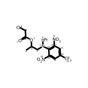 CCCN(CC(C)OC(=O)CCl)c1c([N+](=O)[O-])cc(C(F)(F)F)cc1[N+](=O)[O-]